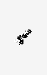 Cc1ccc(F)cc1-c1nc(NS(=O)(=O)c2cccc(NC[C@@H]3CCCCN3)n2)ccc1C(F)(F)F